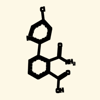 NC(=O)c1c(C(=O)O)cccc1-c1ccc(Cl)cn1